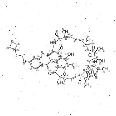 CO[C@H]1/C=C/O[C@@]2(C)Oc3c(C)c(O)c4c(=O)c(c5oc6cc(OCCN7CCC7)ccc6nc-5c4c3C2=O)NC(=O)/C(C)=C\C=C\[C@H](C)[C@@H]2O[C@H]([C@H](O)[C@@H]2C)[C@H](OC(C)=O)[C@@H]1C